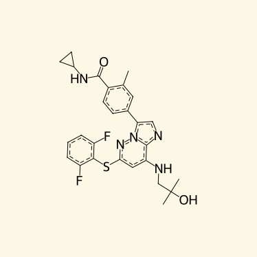 Cc1cc(-c2cnc3c(NCC(C)(C)O)cc(Sc4c(F)cccc4F)nn23)ccc1C(=O)NC1CC1